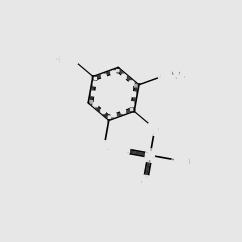 CCCS(=O)(=O)Oc1c(Br)cc(C=O)cc1OC